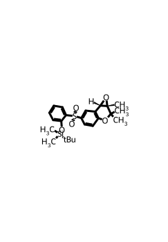 CC1(C)Oc2ccc(S(=O)(=O)c3ccccc3O[Si](C)(C)C(C)(C)C)cc2[C@@H]2O[C@@]21C